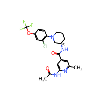 CC(=O)Nc1cc(C(=O)N[C@@H]2CCCN(c3ccc(OC(F)(F)F)cc3Cl)C2)cc(C)n1